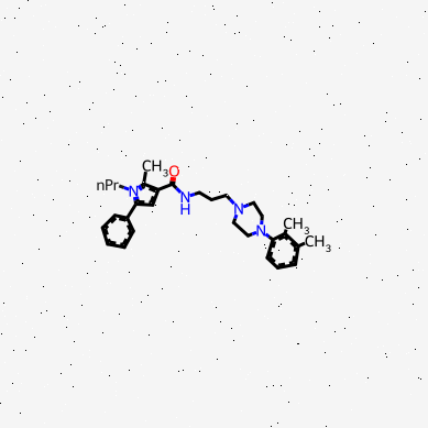 CCCn1c(-c2ccccc2)cc(C(=O)NCCCN2CCN(c3cccc(C)c3C)CC2)c1C